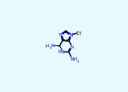 CCn1cnc2c1N=C(N)NC2N